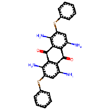 Nc1cc(Sc2ccccc2)c(N)c2c1C(=O)c1c(N)cc(Sc3ccccc3)c(N)c1C2=O